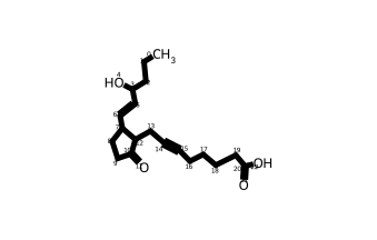 CCCC(O)C=CC1CCC(=O)C1CC#CCCCCC(=O)O